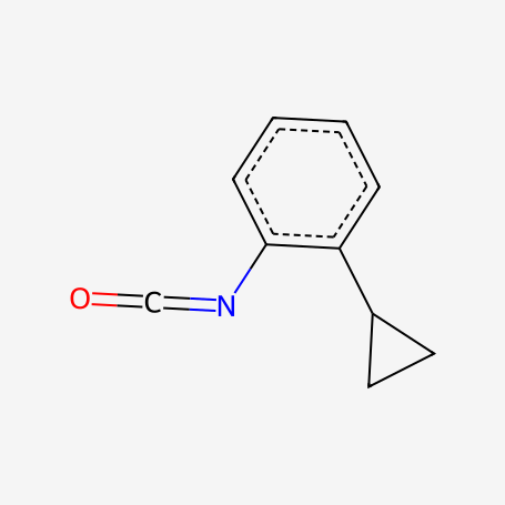 O=C=Nc1ccccc1C1CC1